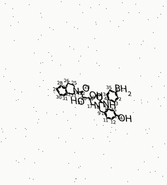 Bc1ccc(NC(=O)N(Cc2ccc(O)cc2)C[C@H](O)[C@@H](O)C(=O)N2CCc3ccccc3C2)cc1